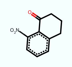 O=C1CCCc2cccc([N+](=O)[O-])c21